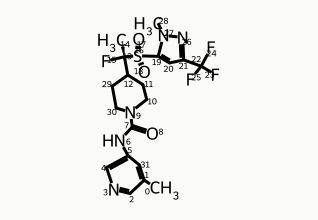 Cc1cncc(NC(=O)N2CCC([C@](C)(F)S(=O)(=O)c3cc(C(F)(F)F)nn3C)CC2)c1